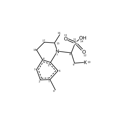 Cc1ccc2c(c1)N(C([CH2][K])S(=O)(=O)O)C(C)CC2